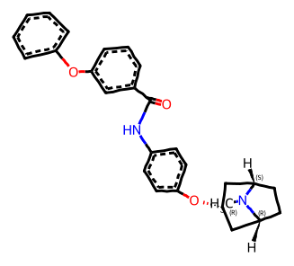 CN1[C@@H]2CC[C@H]1C[C@@H](Oc1ccc(NC(=O)c3cccc(Oc4ccccc4)c3)cc1)C2